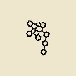 c1ccc(-c2ccc(-c3cccc(N(c4cccc5ccccc45)c4cccc5oc6c7ccccc7c(-c7ccccc7)cc6c45)c3)cc2)cc1